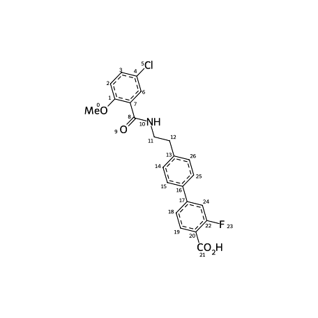 COc1ccc(Cl)cc1C(=O)NCCc1ccc(-c2ccc(C(=O)O)c(F)c2)cc1